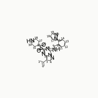 CC(C)c1cnn2c(NCc3ccccc3-n3cccn3)nc(S(=O)(=O)C3CCNCC3)nc12